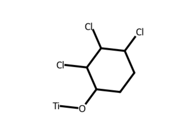 ClC1CCC([O][Ti])C(Cl)C1Cl